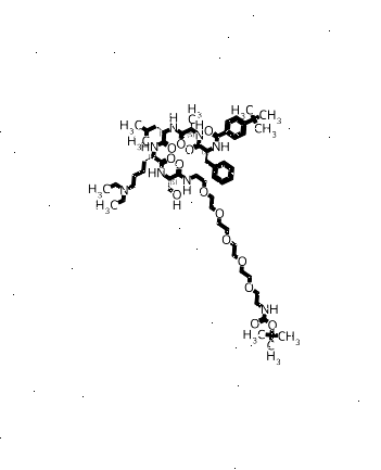 CCN(CC)CCCC[C@H](NC(=O)[C@H](CC(C)C)NC(=O)[C@H](C)NC(=O)[C@H](Cc1ccccc1)NC(=O)c1ccc(C(C)(C)C)cc1)C(=O)N[C@@H](CO)C(=O)NCCOCCOCCOCCOCCOCCNC(=O)OC(C)(C)C